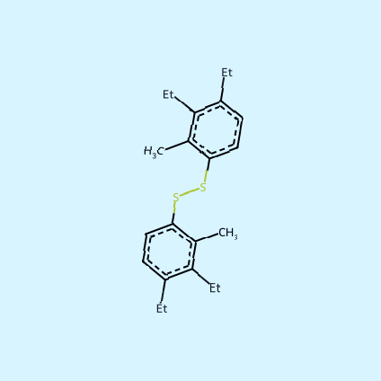 CCc1ccc(SSc2ccc(CC)c(CC)c2C)c(C)c1CC